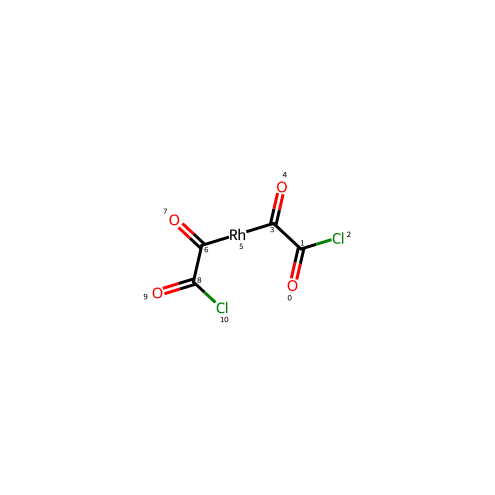 O=C(Cl)[C](=O)[Rh][C](=O)C(=O)Cl